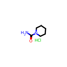 Cl.NC(=O)N1C[CH]CCC1